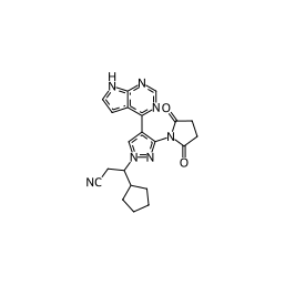 N#CCC(C1CCCC1)n1cc(-c2ncnc3[nH]ccc23)c(N2C(=O)CCC2=O)n1